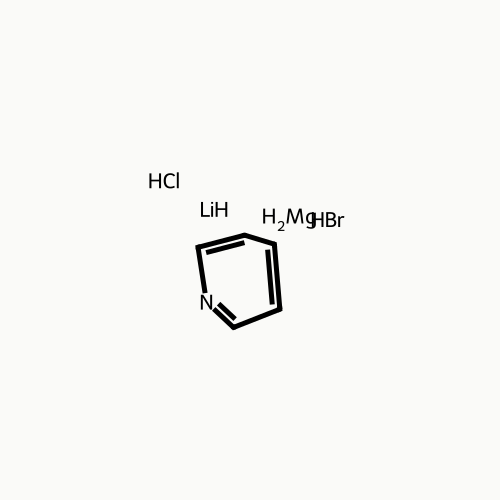 Br.Cl.[LiH].[MgH2].c1ccncc1